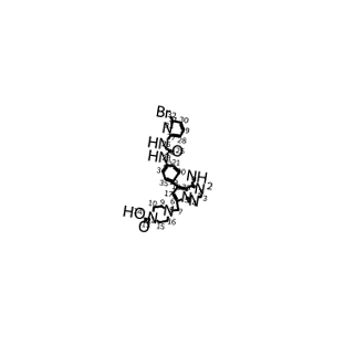 Nc1ncnn2c(CN3CCN(C(=O)O)CC3)cc(-c3ccc(NC(=O)Nc4cccc(Br)n4)cc3)c12